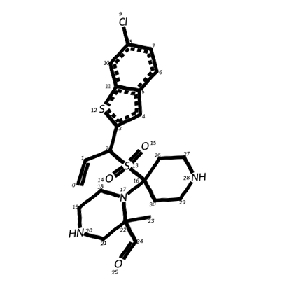 C=CC(c1cc2ccc(Cl)cc2s1)S(=O)(=O)C1(N2CCNCC2(C)C=O)CCNCC1